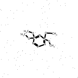 COP1(OC)=NP=NP(OC)(OC)=N1